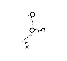 Cc1ccccc1NCCNc1ccc(C(=O)NCCN(C)C(=O)OC(C)(C)C)cc1NC(=O)c1ccco1